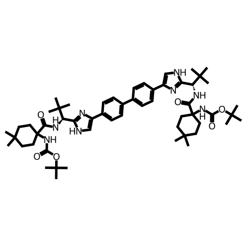 CC1(C)CCC(NC(=O)OC(C)(C)C)(C(=O)N[C@H](c2nc(-c3ccc(-c4ccc(-c5c[nH]c([C@@H](NC(=O)C6(NC(=O)OC(C)(C)C)CCC(C)(C)CC6)C(C)(C)C)n5)cc4)cc3)c[nH]2)C(C)(C)C)CC1